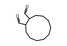 O=CC1CCCCCCCCCC1C=O